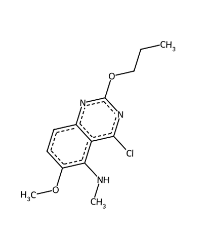 CCCOc1nc(Cl)c2c(NC)c(OC)ccc2n1